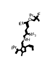 C=C(C1=C(C)CC(/C=C\C)/C1=C\NC/C(N)=C/C=C(\CC)OCC(C)(F)C(C)C)C(C)C